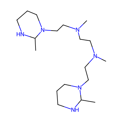 CC1NCCCN1CCN(C)CCN(C)CCN1CCCNC1C